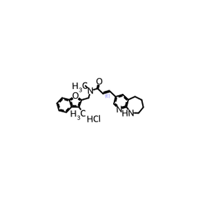 Cc1c(CN(C)C(=O)/C=C/c2cnc3c(c2)CCCCN3)oc2ccccc12.Cl